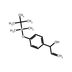 C=CC(O)c1ccc(O[Si](C)(C)C(C)(C)C)cc1